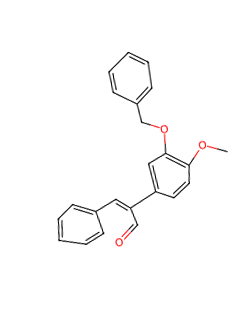 COc1ccc(C(C=O)=Cc2ccccc2)cc1OCc1ccccc1